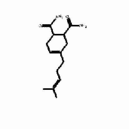 CC(C)=CCCC1=CCC(C(N)=O)C(C(N)=O)C1